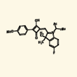 CCCCC(C(C)=O)[N+]1=C(/C=C2\C(=O)C(c3ccc(OC)cc3)=C2O)C(C)(C)c2cc(F)ccc21